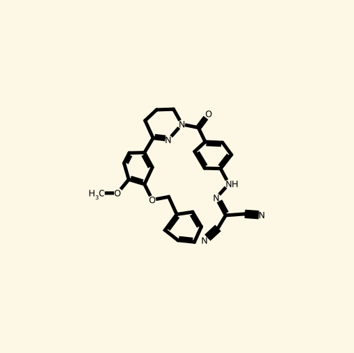 COc1ccc(C2=NN(C(=O)c3ccc(NN=C(C#N)C#N)cc3)CCC2)cc1OCc1ccccc1